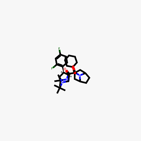 CC(C)(C)NC(=O)C1(C2CCCCC2)CC2CCC(C1)N2C(=O)[C@@H]1CN(C(C)(C)C)C[C@H]1c1ccc(F)cc1F